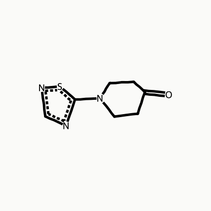 O=C1CCN(c2ncns2)CC1